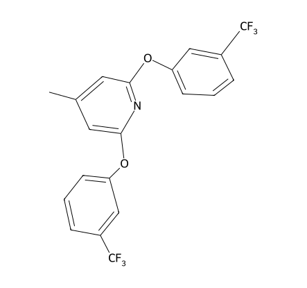 Cc1cc(Oc2cccc(C(F)(F)F)c2)nc(Oc2cccc(C(F)(F)F)c2)c1